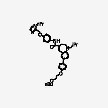 CCCCOCCOc1ccc(-c2ccc3c(c2)C=C(C(=O)Nc2ccc(OCc4nccn4CCC)cc2)CCN3CC(C)C)cc1